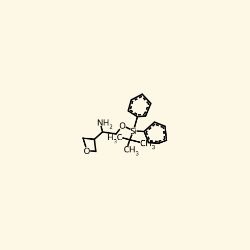 CC(C)(C)[Si](OCC(N)C1COC1)(c1ccccc1)c1ccccc1